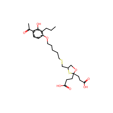 CCCc1c(OCCCCCSCC2COC(CCC(=O)O)(CCC(=O)O)S2)ccc(C(C)=O)c1O